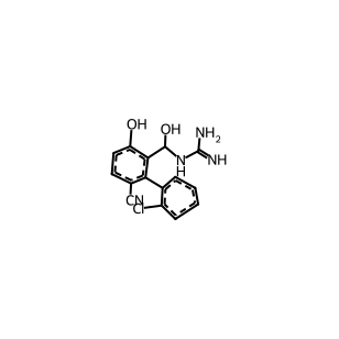 N#Cc1ccc(O)c(C(O)NC(=N)N)c1-c1ccccc1Cl